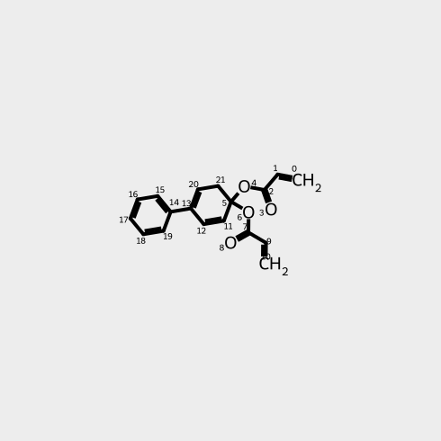 C=CC(=O)OC1(OC(=O)C=C)C=CC(c2ccccc2)=CC1